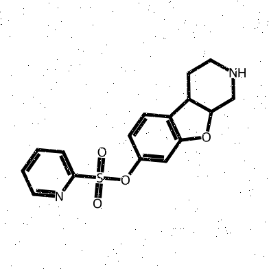 O=S(=O)(Oc1ccc2c(c1)OC1CNCCC21)c1ccccn1